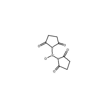 O=C1CCC(=O)N1[S+]([O-])N1C(=O)CCC1=O